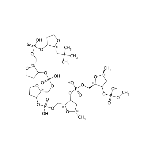 COP(=O)(O)OC1C[C@H](C)O[C@@H]1COP(=O)(O)OC1C[C@H](C)O[C@@H]1COP(=O)(O)OC1CCO[C@@H]1COP(=O)(O)OC1CCO[C@@H]1COP(O)(=S)OC1CCO[C@@H]1CC(C)(C)C